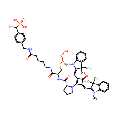 CN1/C(=C/C2=C(N3CCC[C@@H]3C(=O)NC(CSOOO)C(=O)NCCCCC(=O)NCc3ccc(C(Br)P(=O)(O)O)cc3)C(=C/C3=[N+](C)c4ccccc4C3(C)C)/C2=O)C(C)(C)c2ccccc21